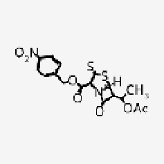 CC(=O)OC(C)C1C(=O)N2C(C(=O)OCc3ccc([N+](=O)[O-])cc3)C(=S)S[C@@H]12